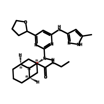 CCNC(=O)CN1[C@@H]2CCC[C@H]1C[C@H](N(C)c1nc(Nc3cc(C)[nH]n3)cc(C3CCCO3)n1)C2